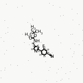 CC(C)(C)OC(=O)NCc1cnc(-c2ccc(C#N)cc2F)s1